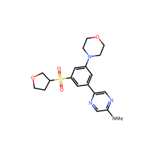 CNc1cnc(-c2cc(N3CCOCC3)cc(S(=O)(=O)C3CCOC3)c2)cn1